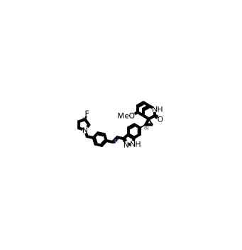 COC1C=CC2=CC1[C@]1(C[C@H]1c1ccc3c(/C=C/c4ccc(CN5CC[C@@H](F)C5)cc4)n[nH]c3c1)C(=O)N2